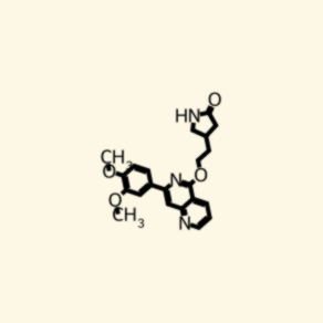 COc1ccc(-c2cc3ncccc3c(OCCC3CNC(=O)C3)n2)cc1OC